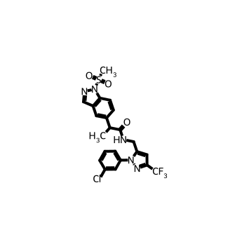 CC(C(=O)NCc1cc(C(F)(F)F)nn1-c1cccc(Cl)c1)c1ccc2c(cnn2S(C)(=O)=O)c1